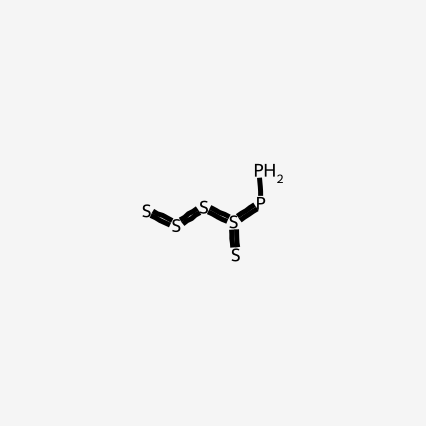 PP=S(=S)=S=S=S